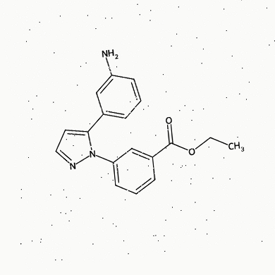 CCOC(=O)c1cccc(-n2nccc2-c2cccc(N)c2)c1